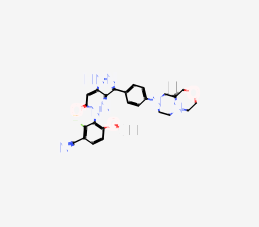 COc1ccc(C#N)c(F)c1-n1nc2c(-c3ccc(N4CCN5CCOC[C@H]5C4)cc3)n[nH]c2cc1=O